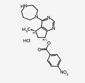 C[C@@H]1C[C@@H](OC(=O)c2ccc([N+](=O)[O-])cc2)c2ncnc(N3CCCNCC3)c21.Cl